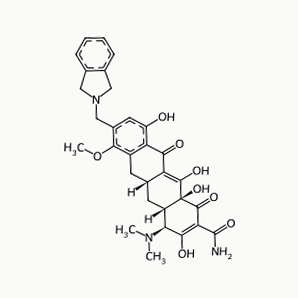 COc1c(CN2Cc3ccccc3C2)cc(O)c2c1C[C@H]1C[C@H]3[C@H](N(C)C)C(O)=C(C(N)=O)C(=O)[C@@]3(O)C(O)=C1C2=O